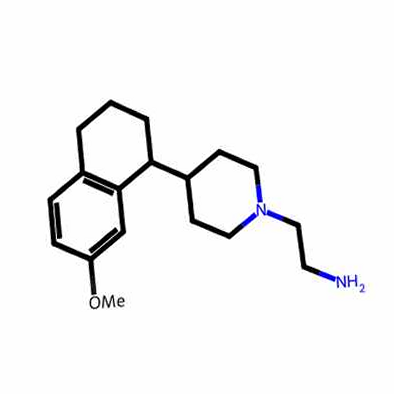 COc1ccc2c(c1)C(C1CCN(CCN)CC1)CCC2